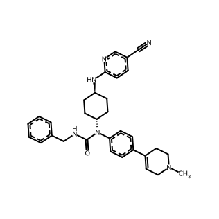 CN1CC=C(c2ccc(N(C(=O)NCc3ccccc3)[C@H]3CC[C@H](Nc4ccc(C#N)cn4)CC3)cc2)CC1